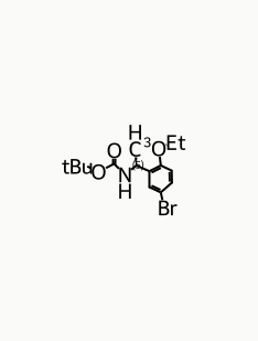 CCOc1ccc(Br)cc1[C@H](C)NC(=O)OC(C)(C)C